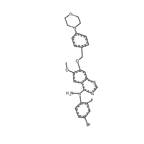 COc1cc2c(N(N)c3ccc(Br)cc3F)ncnc2cc1OCc1ccc(N2CCOCC2)cc1